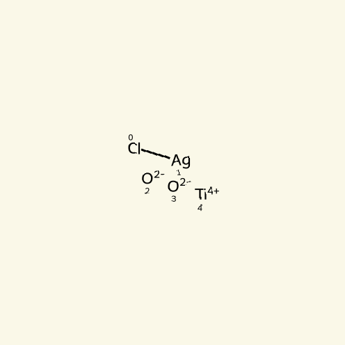 [Cl][Ag].[O-2].[O-2].[Ti+4]